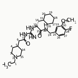 CCN1CCC(CC(=O)NC(=N)N[C@H](CC2CCCCC2)C(=O)NCc2ccc(F)c(OC)c2)CC1